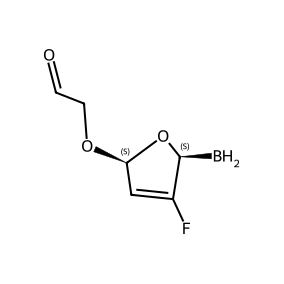 B[C@@H]1O[C@H](OCC=O)C=C1F